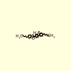 CCCCCC1CCC(OC(=O)c2ccc([C@@H]3CCC(CCCCC)C[C@H]3C)cc2)CC1